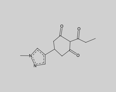 CCC(=O)C1C(=O)CC(c2cnn(C)c2)CC1=O